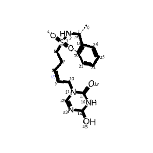 C[C@@H](NS(=O)(=O)CC/C=C\CN1C=NC(O)NC1=O)c1ccccc1